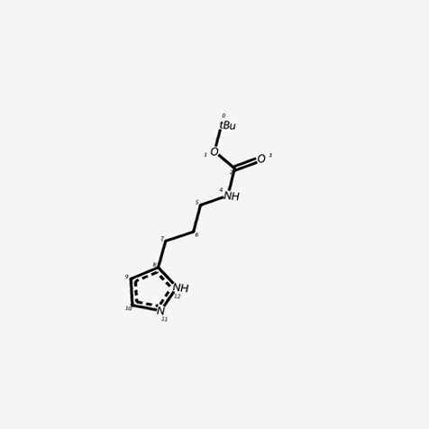 CC(C)(C)OC(=O)NCC[CH]c1ccn[nH]1